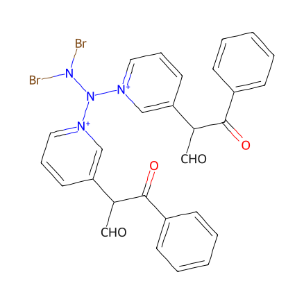 O=CC(C(=O)c1ccccc1)c1ccc[n+](N(N(Br)Br)[n+]2cccc(C(C=O)C(=O)c3ccccc3)c2)c1